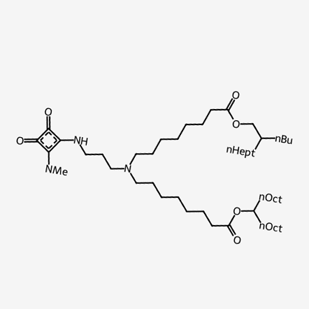 CCCCCCCCC(CCCCCCCC)OC(=O)CCCCCCCN(CCCCCCCC(=O)OCC(CCCC)CCCCCCC)CCCNc1c(NC)c(=O)c1=O